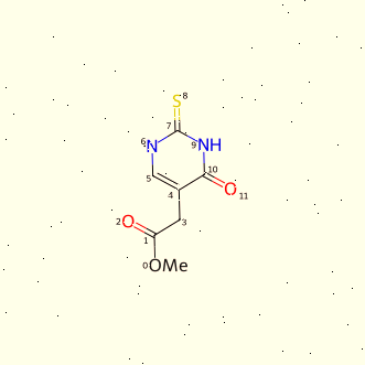 COC(=O)CC1=C[N]C(=S)NC1=O